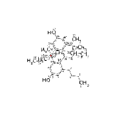 CCCCc1cc(O)cc(C(C)(C)C)c1C(CCC)c1c(CCCC)cc(O)cc1C(C)(C)C